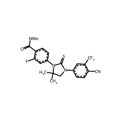 CNC(=O)c1ccc(N2C(=S)N(c3ccc(C#N)c(C(F)(F)F)c3)CC2(C)C)cc1F